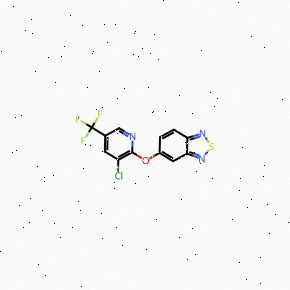 FC(F)(F)c1cnc(Oc2ccc3nsnc3c2)c(Cl)c1